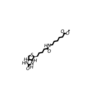 COC(=O)CCCCCNC(=O)CCCC[C@@H]1SC[C@@H]2NC(=O)N[C@@H]21